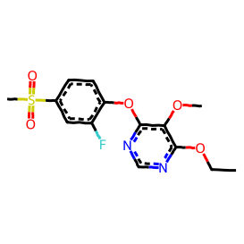 CCOc1ncnc(Oc2ccc(S(C)(=O)=O)cc2F)c1OC